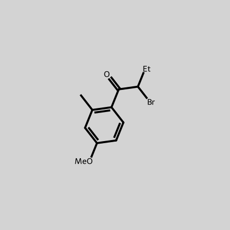 CCC(Br)C(=O)c1ccc(OC)cc1C